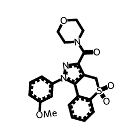 COc1cccc(-n2nc(C(=O)N3CCOCC3)c3c2-c2ccccc2S(=O)(=O)C3)c1